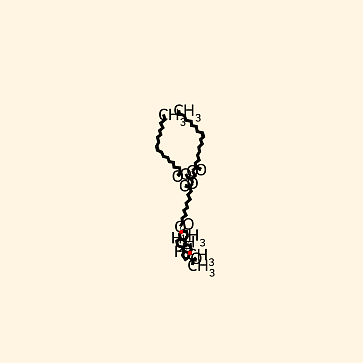 CCCCCCCC/C=C\CCCCCCCC(=O)OCC(COC(=O)CCCCCCC/C=C\CCCCCCCC)OC(=O)CCCCCCCCC(=O)O[C@@H]1CC[C@@]2(C)[C@@H](CC[C@@H]3[C@@H]2CC[C@]2(C)[C@@H](C(C)=O)CC[C@@H]32)C1